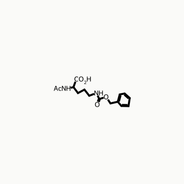 CC(=O)NC(CCCNC(=O)OCc1ccccc1)C(=O)O